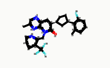 Cc1cnc2cc([C@@H]3CC[C@@H](c4c(C)cccc4F)C3)c(=O)n(Cc3ncccc3C(F)(F)F)c2n1